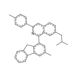 Cc1ccc(-c2cc3ccc(CC(C)C)cc3c(-c3cc(C)cc4c3Cc3ccccc3-4)n2)cc1